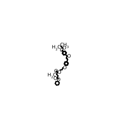 C=C(C)C(=O)Oc1ccc(C(=O)/C=C/c2ccc(OCCCOC(=O)C(=C)CC(=O)OC3CCCCC3)cc2)cc1